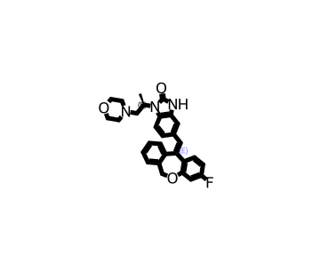 C[C@H](CN1CCOCC1)n1c(=O)[nH]c2cc(/C=C3\c4ccccc4COc4cc(F)ccc43)ccc21